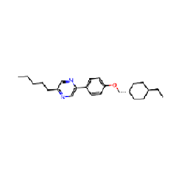 CCCCCc1cnc(-c2ccc(OC[C@H]3CC[C@H](CC)CC3)cc2)cn1